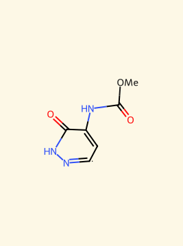 COC(=O)Nc1c[c]n[nH]c1=O